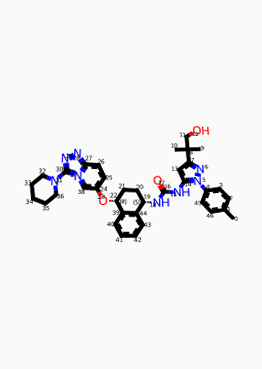 Cc1ccc(-n2nc(C(C)(C)CO)cc2NC(=O)N[C@H]2CC[C@@H](Oc3ccc4nnc(N5CCCCC5)n4c3)c3ccccc32)cc1